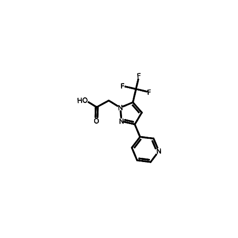 O=C(O)Cn1nc(-c2cccnc2)cc1C(F)(F)F